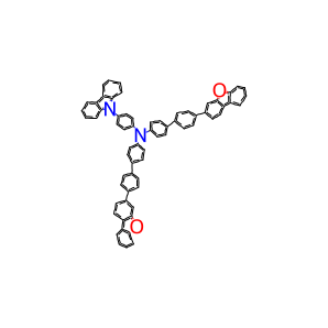 c1ccc2c(c1)oc1cc(-c3ccc(-c4ccc(N(c5ccc(-c6ccc(-c7ccc8c(c7)oc7ccccc78)cc6)cc5)c5ccc(-n6c7ccccc7c7ccccc76)cc5)cc4)cc3)ccc12